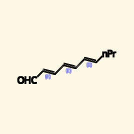 CCC/C=C/C=C/C=C/C=O